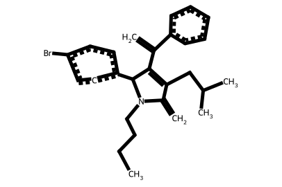 C=C(C1=C(CC(C)C)C(=C)N(CCCC)C1c1ccc(Br)cc1)c1ccccc1